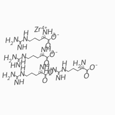 N=C(N)NCCC[C@H](N)C(=O)[O-].N=C(N)NCCC[C@H](N)C(=O)[O-].N=C(N)NCCC[C@H](N)C(=O)[O-].N=C(N)NCCC[C@H](N)C(=O)[O-].[Zr+4]